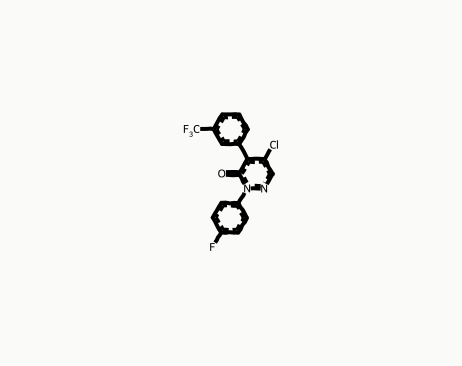 O=c1c(-c2cccc(C(F)(F)F)c2)c(Cl)cnn1-c1ccc(F)cc1